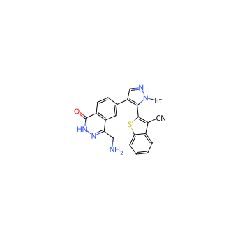 CCn1ncc(-c2ccc3c(=O)[nH]nc(CN)c3c2)c1-c1sc2ccccc2c1C#N